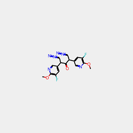 COc1ncc(C(C=[N+]=[N-])C(=O)C(C=[N+]=[N-])c2cnc(OC)c(F)c2)cc1F